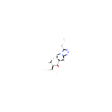 CN/C(O)=C(\C(C)=N)C(=O)c1ccn2c(CSC(C)C)nnc2c1Cl